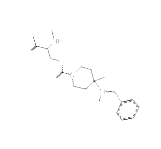 CNC(COC(=O)N1CCC(C)(N(C)Cc2ccccc2)CC1)C(C)=O